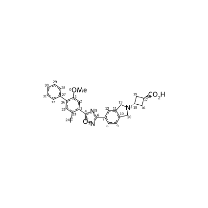 COc1cc(-c2nc(-c3ccc4c(c3)CN([C@H]3C[C@H](C(=O)O)C3)C4)no2)c(F)cc1-c1ccccc1